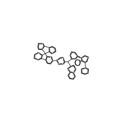 c1ccc(-c2cccc3c2oc2c(C(c4ccc(-c5ccc6c(c5)C5(c7ccccc7-c7ccccc75)c5ccccc5-6)cc4)c4ccc5ccccc5c4)cccc23)cc1